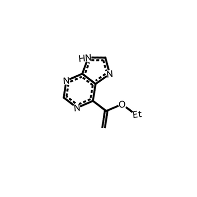 C=C(OCC)c1ncnc2[nH]cnc12